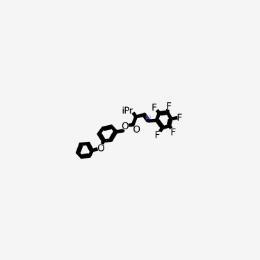 CC(C)C(/C=C/c1c(F)c(F)c(F)c(F)c1F)C(=O)OCc1cccc(Oc2ccccc2)c1